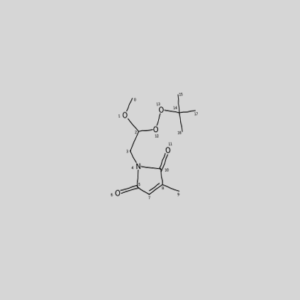 COC(CN1C(=O)C=C(C)C1=O)OOC(C)(C)C